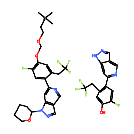 C[Si](C)(C)CCOCOc1cc(CC(F)(F)F)c(-c2cc3c(cn2)cnn3C2CCCCO2)cc1F.Oc1cc(CC(F)(F)F)c(-c2cc3[nH]ncc3cn2)cc1F